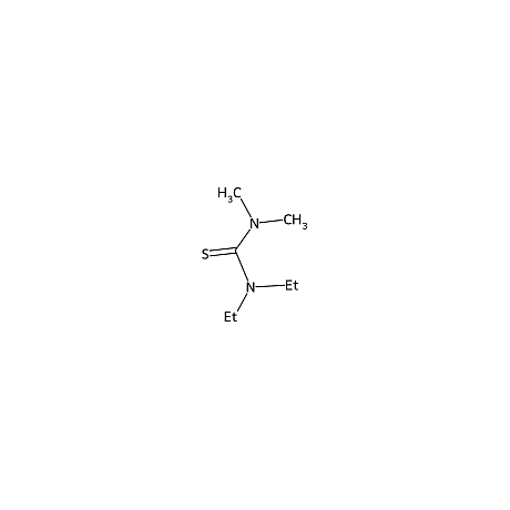 CCN(CC)C(=S)N(C)C